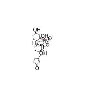 O=C1C=C(C2CCC3(O)C2CC[C@H]2[C@H]3CCC3(O)CC(O)CCC23CO[N+](=O)[O-])CC1